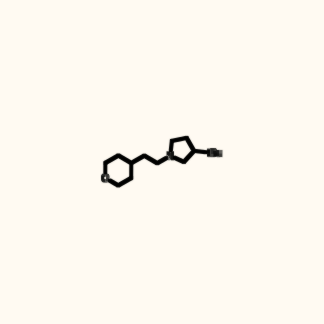 CC(C)(C)C1CCN(CCC2CCOCC2)C1